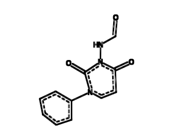 O=CNn1c(=O)ccn(-c2ccccc2)c1=O